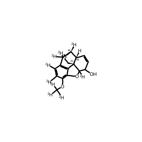 [2H]c1c([2H])c2c3c(c1OC([2H])([2H])[2H])OC1([2H])C(O)C=C[C@@H]4[C@@]31CCN(C)[C@]4([2H])C2([2H])[2H]